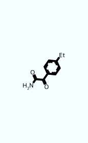 CCc1ccc(C(=O)C(N)=O)cc1